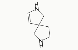 C1=CC2(CCNC2)CN1